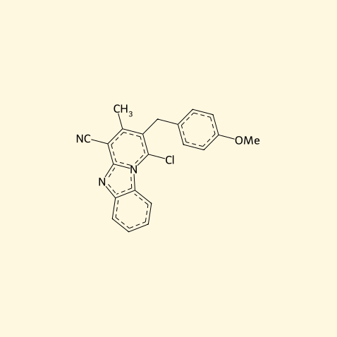 COc1ccc(Cc2c(C)c(C#N)c3nc4ccccc4n3c2Cl)cc1